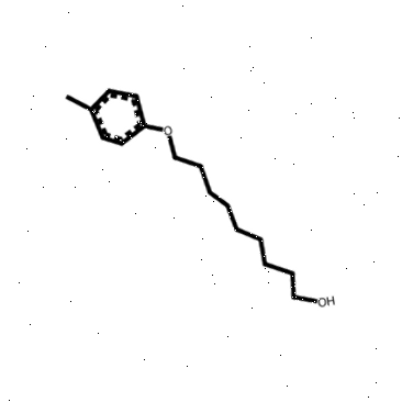 Cc1ccc(OCCCCCCCCCO)cc1